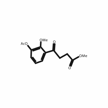 COC(=O)CCC(=O)c1cccc(OC(C)=O)c1OC